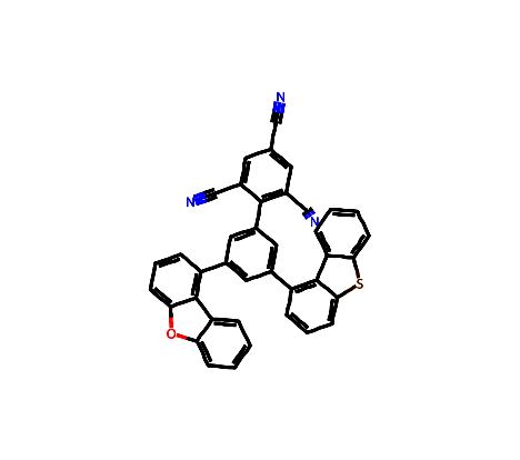 N#Cc1cc(C#N)c(-c2cc(-c3cccc4oc5ccccc5c34)cc(-c3cccc4sc5ccccc5c34)c2)c(C#N)c1